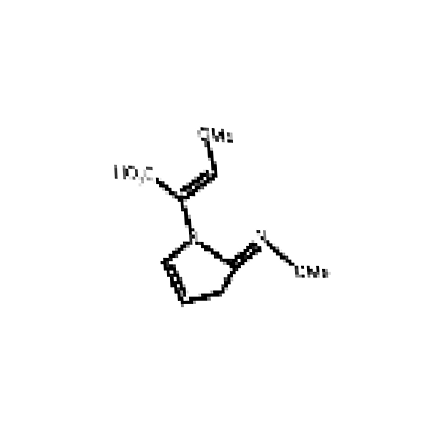 COC=C(C(=O)O)N1C=CCC1=NOC